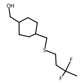 CC(F)(F)CCSCC1CCC(CO)CC1